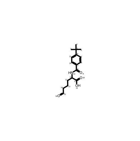 CC(C)(C)c1ccc(C(=O)NC(CCC[C]=O)C(=O)O)cc1